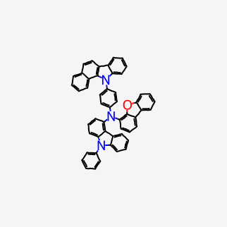 c1ccc(-n2c3ccccc3c3c(N(c4ccc(-n5c6ccccc6c6ccc7ccccc7c65)cc4)c4cccc5c4oc4ccccc45)cccc32)cc1